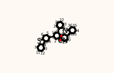 N#Cc1cc(-c2ccc3sc4ccccc4c3c2)cc(-c2ccccc2-n2c3ccccc3c3ccccc32)c1